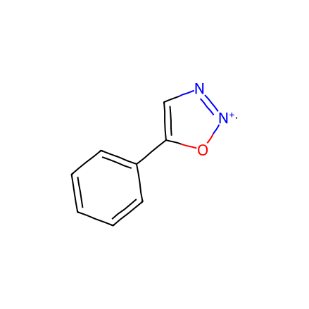 C1=C(c2ccccc2)O[N+]=N1